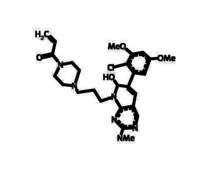 C=CC(=O)N1CCN(CCCN2c3nc(NC)ncc3C=C(c3cc(OC)cc(OC)c3Cl)C2O)CC1